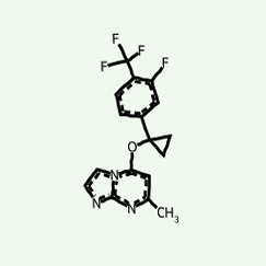 Cc1cc(OC2(c3ccc(C(F)(F)F)c(F)c3)CC2)n2ccnc2n1